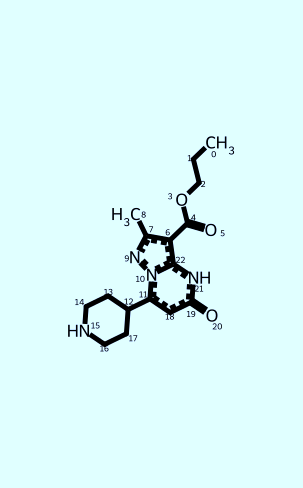 CCCOC(=O)c1c(C)nn2c(C3CCNCC3)cc(=O)[nH]c12